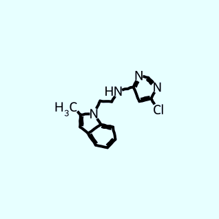 Cc1cc2ccccc2n1CCNc1cc(Cl)ncn1